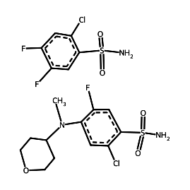 CN(c1cc(Cl)c(S(N)(=O)=O)cc1F)C1CCOCC1.NS(=O)(=O)c1cc(F)c(F)cc1Cl